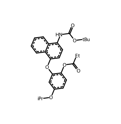 CCC(=O)Oc1ccc(OC(C)C)cc1Oc1ccc(NC(=O)OC(C)(C)C)c2ccccc12